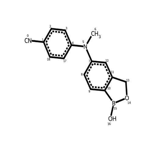 [C-]#[N+]c1ccc(N(C)c2ccc3c(c2)COB3O)cc1